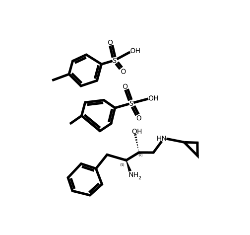 Cc1ccc(S(=O)(=O)O)cc1.Cc1ccc(S(=O)(=O)O)cc1.N[C@@H](Cc1ccccc1)[C@H](O)CNC1CC1